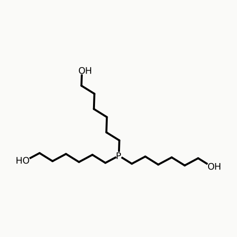 OCCCCCCP(CCCCCCO)CCCCCCO